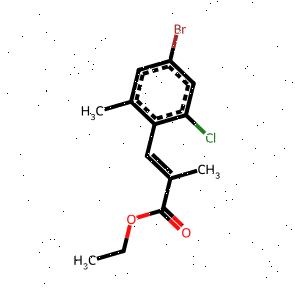 CCOC(=O)/C(C)=C/c1c(C)cc(Br)cc1Cl